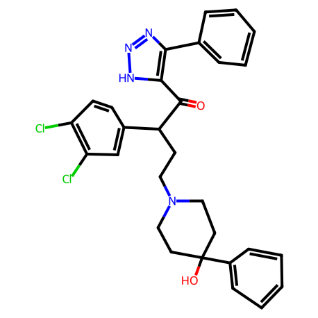 O=C(c1[nH]nnc1-c1ccccc1)C(CCN1CCC(O)(c2ccccc2)CC1)c1ccc(Cl)c(Cl)c1